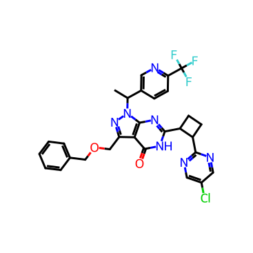 CC(c1ccc(C(F)(F)F)nc1)n1nc(COCc2ccccc2)c2c(=O)[nH]c(C3CCC3c3ncc(Cl)cn3)nc21